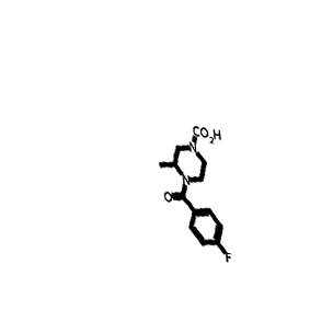 CC1CN(C(=O)O)CCN1C(=O)c1ccc(F)cc1